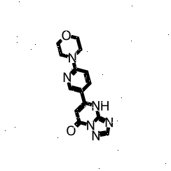 O=c1cc(-c2ccc(N3CCOCC3)nc2)[nH]c2ncnn12